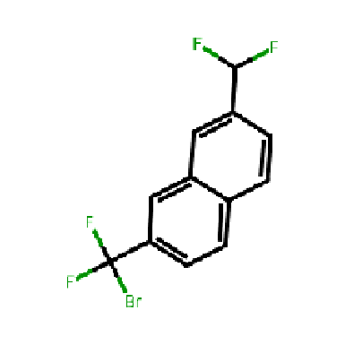 FC(F)c1ccc2ccc(C(F)(F)Br)cc2c1